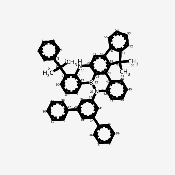 CC(C)(c1ccccc1)c1cccc2c1Nc1cc3c(c4c1B2N(c1cc(-c2ccccc2)cc(-c2ccccc2)c1)c1ccccc1-4)C(C)(C)c1ccccc1-3